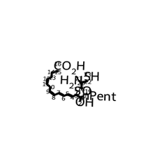 CCCCCC(O)[C@@H](/C=C/C=C/C=C\C/C=C\CCCC(=O)O)SC(=O)[C@@H](N)CS